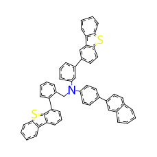 c1cc(-c2ccc3sc4ccccc4c3c2)cc(N(Cc2ccccc2-c2cccc3c2sc2ccccc23)c2ccc(-c3ccc4ccccc4c3)cc2)c1